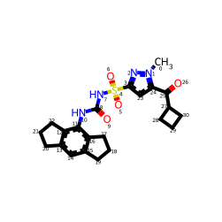 Cn1nc(S(=O)(=O)NC(=O)Nc2c3c(cc4c2CCC4)CCC3)cc1C(=O)C1CCC1